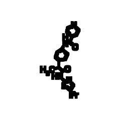 CC(C)c1cnc(NC(=O)C(C)c2ccc(NC(=O)c3ccncc3)cc2)s1